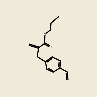 C=Cc1ccc(CC(=C)C(=O)OCCC)cc1